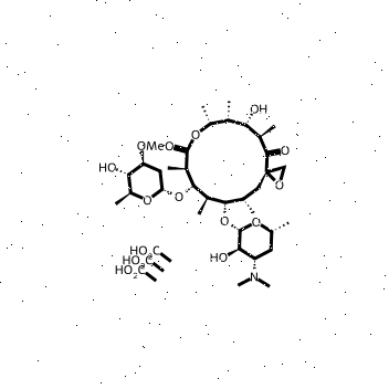 CC(=O)O.CC(=O)O.CC(=O)O.CO[C@H]1C[C@H](O[C@H]2[C@H](C)[C@@H](O[C@@H]3O[C@H](C)C[C@H](N(C)C)[C@H]3O)[C@@H](C)C[C@]3(CO3)C(=O)[C@H](C)[C@@H](O)[C@@H](C)[C@@H](C)OC(=O)[C@@H]2C)O[C@@H](C)[C@@H]1O